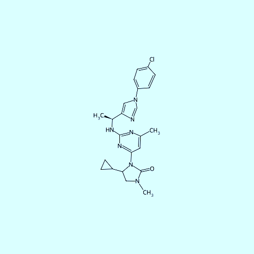 Cc1cc(N2C(=O)N(C)CC2C2CC2)nc(N[C@@H](C)c2cn(-c3ccc(Cl)cc3)cn2)n1